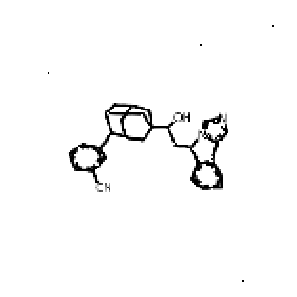 N#Cc1cccc(C2C3CC4CC2CC(C(O)CC2c5ccccc5-c5cncn52)(C4)C3)c1